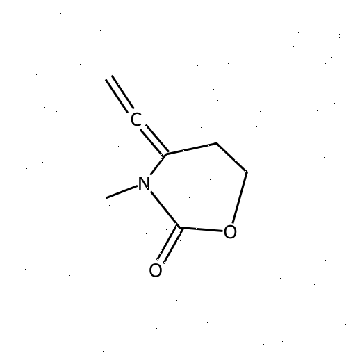 C=C=C1CCOC(=O)N1C